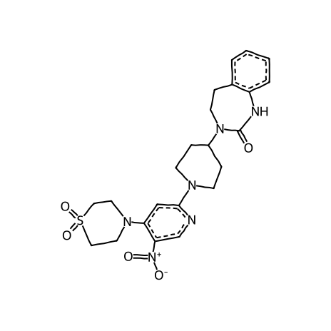 O=C1Nc2ccccc2CCN1C1CCN(c2cc(N3CCS(=O)(=O)CC3)c([N+](=O)[O-])cn2)CC1